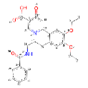 CCOc1cc2c(cc1OCC)-c1cc(=O)c(C(=O)O)cn1C(CNC(=O)c1ccccc1)C2